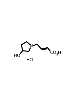 Cl.O=C(O)/C=C/CN1CCC(O)C1